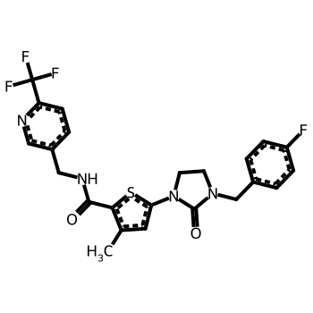 Cc1cc(N2CCN(Cc3ccc(F)cc3)C2=O)sc1C(=O)NCc1ccc(C(F)(F)F)nc1